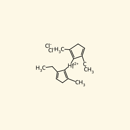 CCC1=CCC(C)=[C]1[Hf+2][C]1=C(C)CC=C1CC.[Cl-].[Cl-]